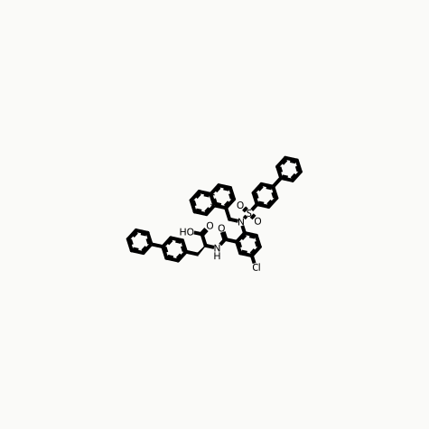 O=C(N[C@@H](Cc1ccc(-c2ccccc2)cc1)C(=O)O)c1cc(Cl)ccc1N(Cc1cccc2ccccc12)S(=O)(=O)c1ccc(-c2ccccc2)cc1